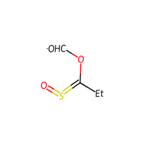 CCC(O[C]=O)=S=O